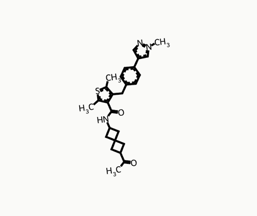 CC(=O)C1CC2(CC(NC(=O)c3c(C)sc(C)c3Cc3ccc(-c4cnn(C)c4)cc3)C2)C1